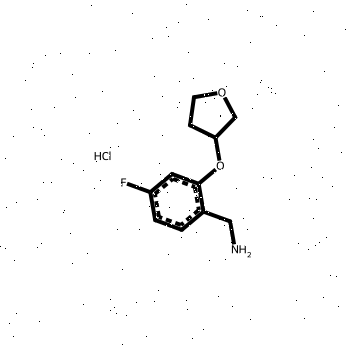 Cl.NCc1ccc(F)cc1OC1CCOC1